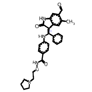 Cc1cc2c(cc1C=O)NC(=O)/C2=C(\Nc1ccc(C(=O)NOCCN2CCCC2)cc1)c1ccccc1